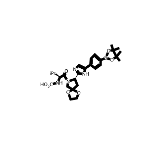 CC(C)[C@H](NC(=O)O)C(=O)N1CC2(C[C@H]1c1ncc(-c3ccc(B4OC(C)(C)C(C)(C)O4)cc3)[nH]1)OCCO2